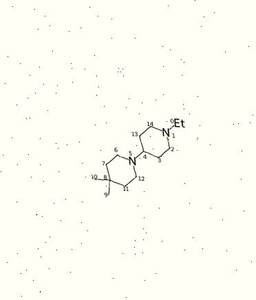 CCN1CCC(N2CCC(C)(C)CC2)CC1